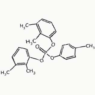 Cc1ccc(OP(=O)(Oc2cccc(C)c2C)Oc2cccc(C)c2C)cc1